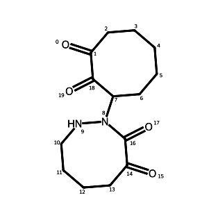 O=C1CCCCCC(N2NCCCCC(=O)C2=O)C1=O